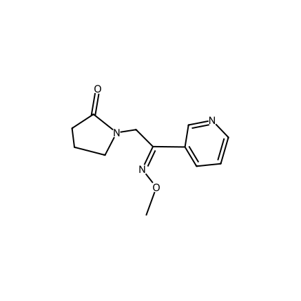 CO/N=C(/CN1CCCC1=O)c1cccnc1